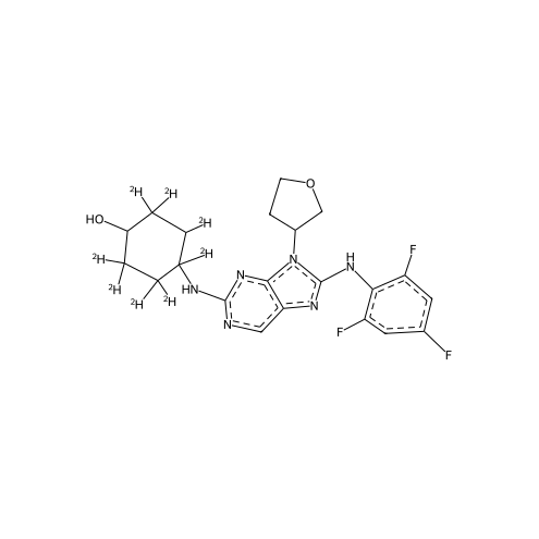 [2H]C1C([2H])([2H])C(O)C([2H])([2H])C([2H])([2H])C1([2H])Nc1ncc2nc(Nc3c(F)cc(F)cc3F)n(C3CCOC3)c2n1